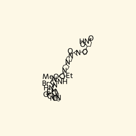 CCc1cc(Nc2ncc(Br)c(Nc3ccc4nccnc4c3P(C)(C)=O)n2)c(OC)cc1N1CCC(N2CCN(C(=O)C3CN(c4cccc(C5CCC(=O)NC5=O)c4)C3)CC2)CC1